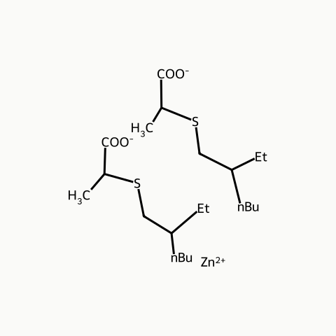 CCCCC(CC)CSC(C)C(=O)[O-].CCCCC(CC)CSC(C)C(=O)[O-].[Zn+2]